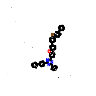 c1ccc(-c2ccc(-c3nc(-c4ccccc4)nc(-c4ccc5c(c4)oc4cc(-c6ccc7sc8cc(-c9ccccc9)ccc8c7c6)ccc45)n3)cc2)cc1